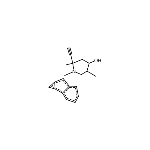 C#CC1(C)CC(O)C(C)CN1C.c1ccc2c3cc-3cc2c1